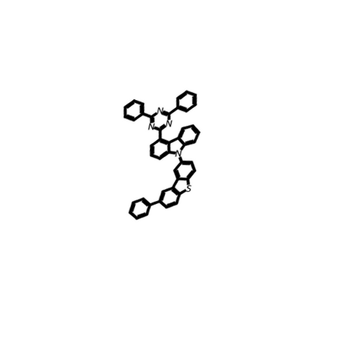 c1ccc(-c2ccc3sc4ccc(-n5c6ccccc6c6c(-c7nc(-c8ccccc8)nc(-c8ccccc8)n7)cccc65)cc4c3c2)cc1